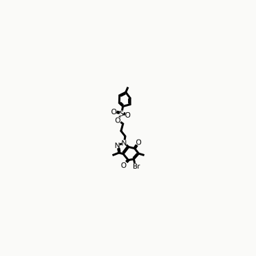 CC1=C(Br)C(=O)c2c(C)nn(CCCOS(=O)(=O)c3ccc(C)cc3)c2C1=O